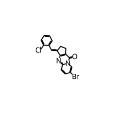 O=c1c2c(nc3ccc(Br)cn13)C(=Cc1ccccc1Cl)CC2